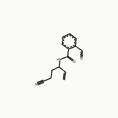 C=CC(CCC#N)NC(=O)c1ccccc1C=O